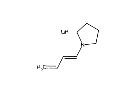 C=CC=CN1CCCC1.[LiH]